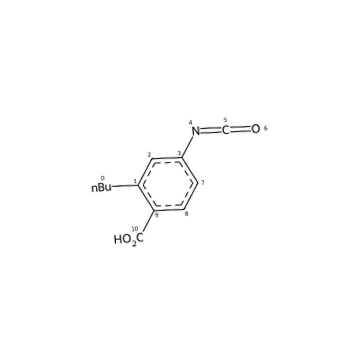 CCCCc1cc(N=C=O)ccc1C(=O)O